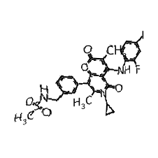 Cc1c(Nc2ccc(I)cc2F)c2c(=O)n(C3CC3)c(C)c(-c3cccc(CNS(C)(=O)=O)c3)c2oc1=O